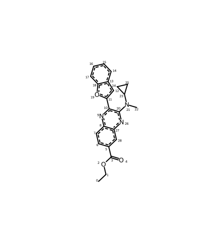 CCOC(=O)c1ccc2nc(-c3cc4ccccc4o3)c(N(C)C3CC3)nc2c1